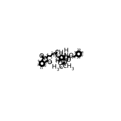 CN(CCCN1C(=O)c2ccccc2C1=O)C[C@@H]1C[C@@H](NC(=O)OCc2ccccc2)[C@@H]2OC(C)(C)O[C@H]12